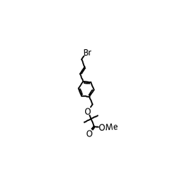 COC(=O)C(C)(C)OCc1ccc(C=CCBr)cc1